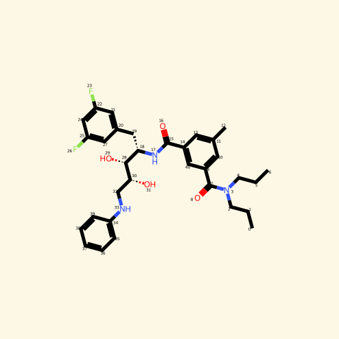 CCCN(CCC)C(=O)c1cc(C)cc(C(=O)N[C@@H](Cc2cc(F)cc(F)c2)[C@@H](O)[C@H](O)CNc2ccccc2)c1